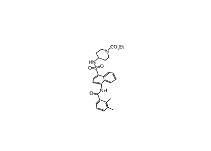 CCOC(=O)N1CCC(NS(=O)(=O)c2ccc(NC(=O)c3cccc(C)c3C)c3ccccc23)CC1